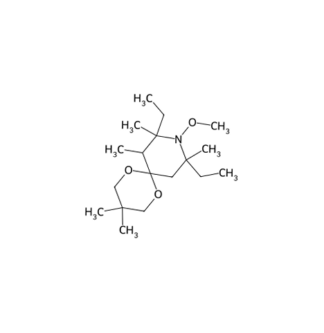 CCC1(C)CC2(OCC(C)(C)CO2)C(C)C(C)(CC)N1OC